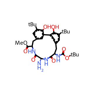 COC(=O)C1Cc2cc(c(O)c(C(C)(C)C)c2)-c2cc(cc(C(C)(C)C)c2O)CC(NC(=O)OC(C)(C)C)C(=O)N[C@@H](N)C(=O)N1